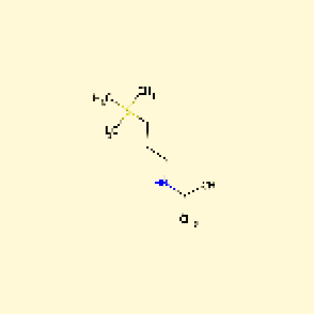 CC(C)NCCCS(C)(C)C